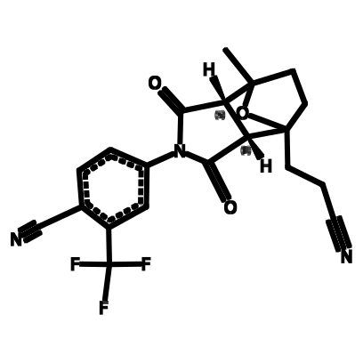 CC12CCC(CCC#N)(O1)[C@@H]1C(=O)N(c3ccc(C#N)c(C(F)(F)F)c3)C(=O)[C@@H]12